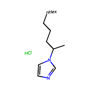 CCCCCCCCCC(C)n1ccnc1.Cl